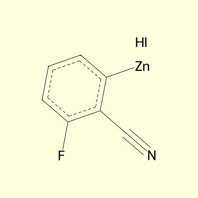 I.N#Cc1c(F)ccc[c]1[Zn]